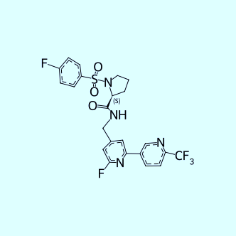 O=C(NCc1cc(F)nc(-c2ccc(C(F)(F)F)nc2)c1)[C@@H]1CCCN1S(=O)(=O)c1ccc(F)cc1